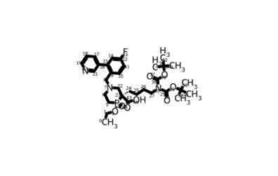 CCOP1(=O)CCN(Cc2ccc(F)cc2-c2cccnc2)C[C@@]1(CCCCN(C(=O)OC(C)(C)C)C(=O)OC(C)(C)C)C(=O)O